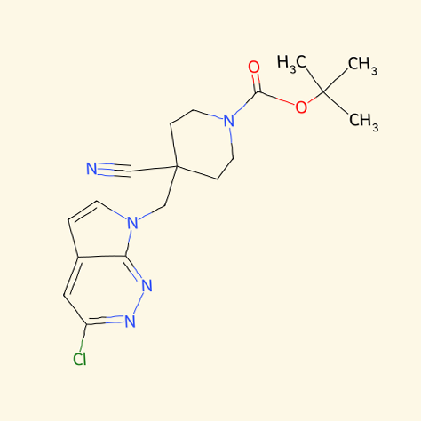 CC(C)(C)OC(=O)N1CCC(C#N)(Cn2ccc3cc(Cl)nnc32)CC1